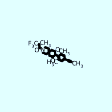 CC#Cc1cc(C)c(C2C(=O)CC3(CCN(C(=O)C(C)C(F)(F)F)CC3)CC2=O)c(C)c1